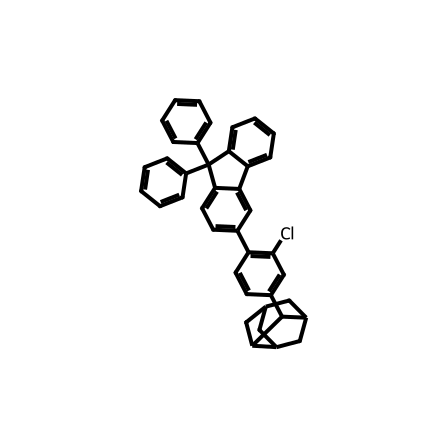 Clc1cc(C2C3CC4CC(C3)C2C4)ccc1-c1ccc2c(c1)-c1ccccc1C2(c1ccccc1)c1ccccc1